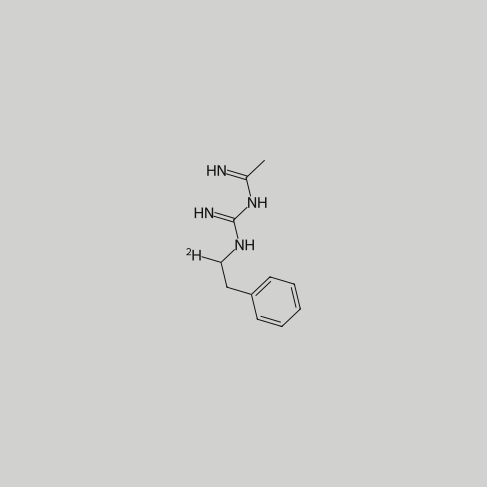 [2H]C(Cc1ccccc1)NC(=N)NC(C)=N